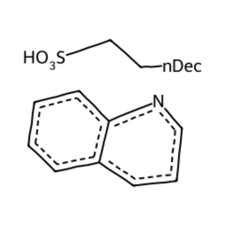 CCCCCCCCCCCCS(=O)(=O)O.c1ccc2ncccc2c1